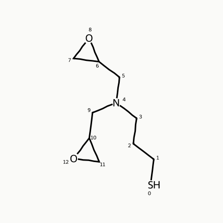 SCCCN(CC1CO1)CC1CO1